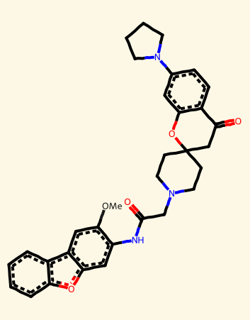 COc1cc2c(cc1NC(=O)CN1CCC3(CC1)CC(=O)c1ccc(N4CCCC4)cc1O3)oc1ccccc12